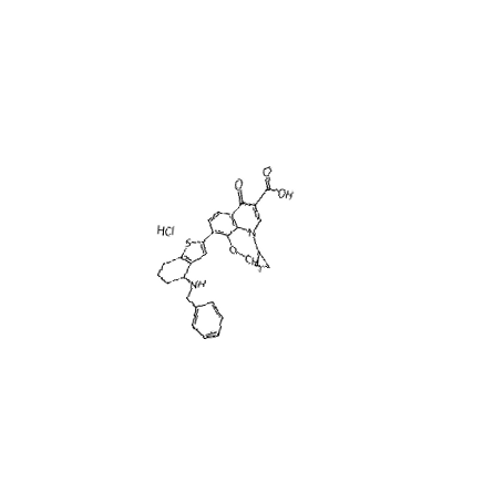 COc1c(-c2cc3c(s2)CCCC3NCc2ccccc2)ccc2c(=O)c(C(=O)O)cn(C3CC3)c12.Cl